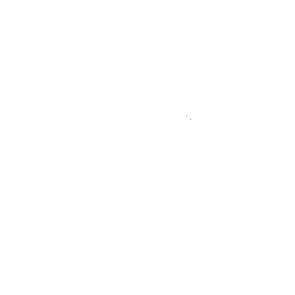 CCC(CCCCCNC(C)=O)C(C)C